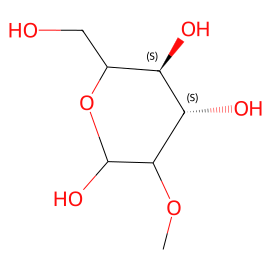 COC1C(O)OC(CO)[C@@H](O)[C@@H]1O